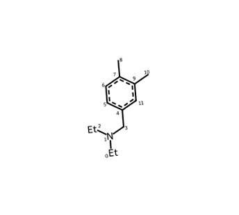 CCN(CC)Cc1ccc(C)c(C)c1